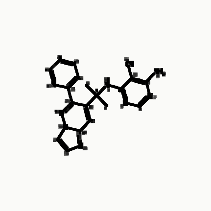 CC(C)(Nc1ncnc(N)c1C#N)c1cc2nccn2nc1-c1ccccn1